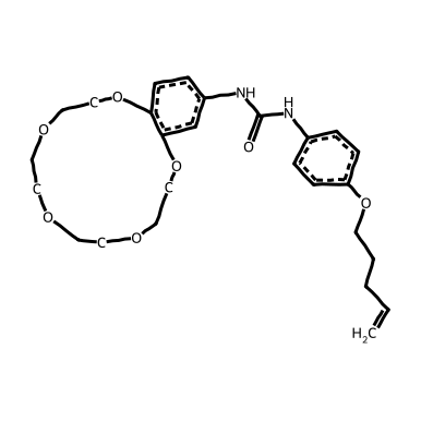 C=CCCCOc1ccc(NC(=O)Nc2ccc3c(c2)OCCOCCOCCOCCO3)cc1